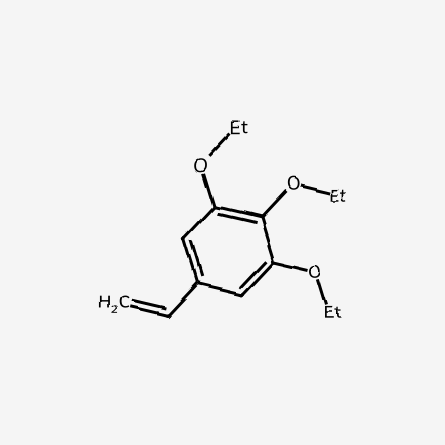 C=Cc1cc(OCC)c(OCC)c(OCC)c1